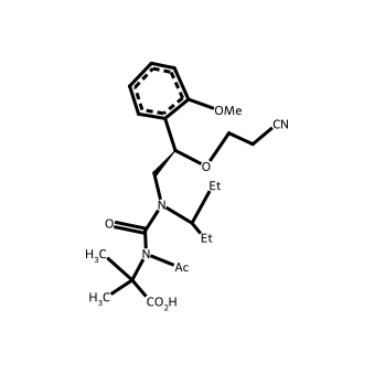 CCC(CC)N(C[C@H](OCCC#N)c1ccccc1OC)C(=O)N(C(C)=O)C(C)(C)C(=O)O